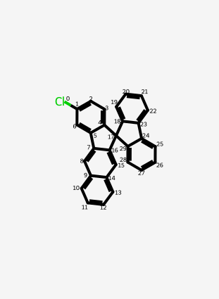 Clc1ccc2c(c1)-c1cc3ccccc3cc1C21c2ccccc2-c2ccccc21